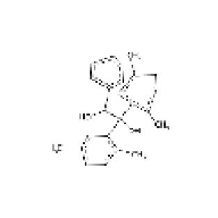 Cc1ccc(C)c(C(O)(c2cc(C)ccc2C)C(O)c2ccccc2)c1